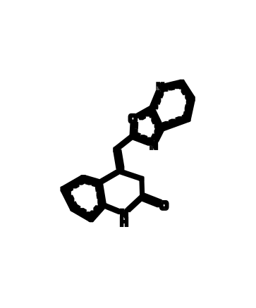 O=C1CC(=Cc2nc3cccnc3o2)c2ccccc2N1